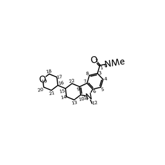 CNC(=O)c1ccc2c(c1)c1c(n2C)CCC(C2CCOCC2)C1